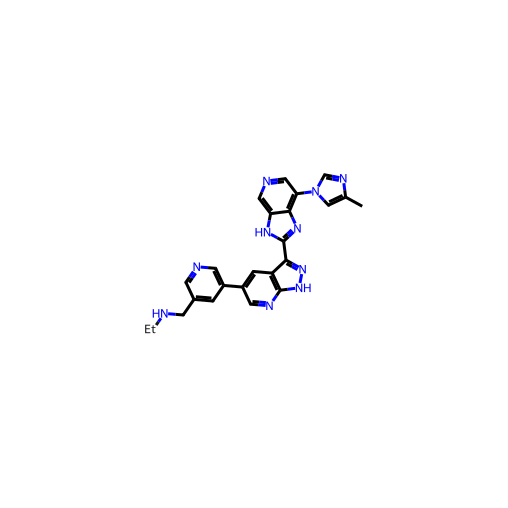 CCNCc1cncc(-c2cnc3[nH]nc(-c4nc5c(-n6cnc(C)c6)cncc5[nH]4)c3c2)c1